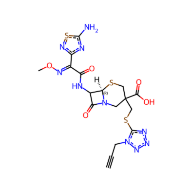 C#CCn1nnnc1SCC1(C(=O)O)CS[C@@H]2C(NC(=O)C(=NOC)c3nsc(N)n3)C(=O)N2C1